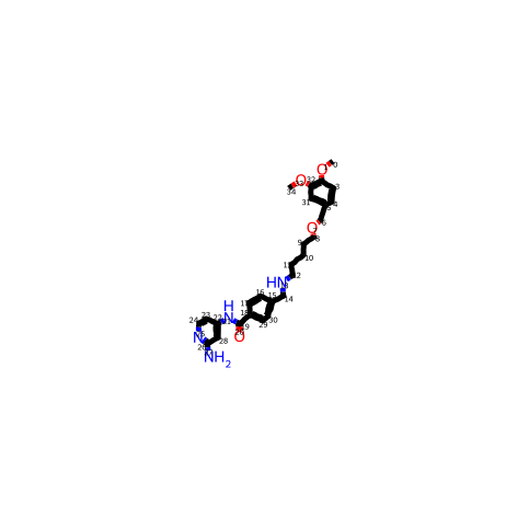 COc1ccc(COCCCCCNCc2ccc(C(=O)Nc3ccnc(N)c3)cc2)cc1OC